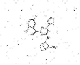 N=C(c1nc(NC2C3CCC(CC3)C2C(=O)O)cc(-c2ccco2)n1)c1cc(Cl)cnc1N